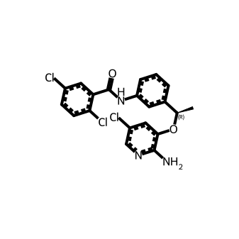 C[C@@H](Oc1cc(Cl)cnc1N)c1cccc(NC(=O)c2cc(Cl)ccc2Cl)c1